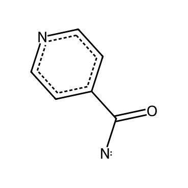 [N]C(=O)c1ccncc1